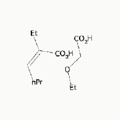 CCCC=C(CC)C(=O)O.CCOCC(=O)O